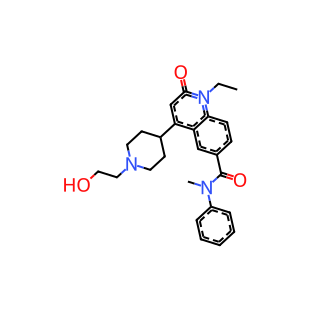 CCn1c(=O)cc(C2CCN(CCO)CC2)c2cc(C(=O)N(C)c3ccccc3)ccc21